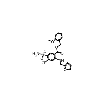 COc1ccccc1COC(=O)c1cc(S(N)(=O)=O)c(Cl)cc1NCc1ccco1